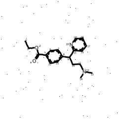 CCOC(=O)c1ccc(C(CCN(C)C)c2ccccn2)cc1